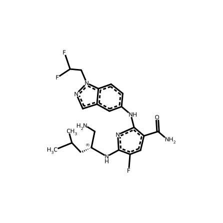 CC(C)C[C@H](CN)Nc1nc(Nc2ccc3c(cnn3CC(F)F)c2)c(C(N)=O)cc1F